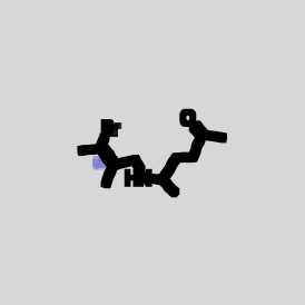 CC(=O)CCC(C)NC/C(C)=C(/C)Br